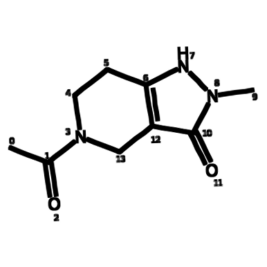 CC(=O)N1CCc2[nH]n(C)c(=O)c2C1